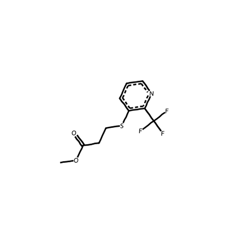 COC(=O)CCSc1cccnc1C(F)(F)F